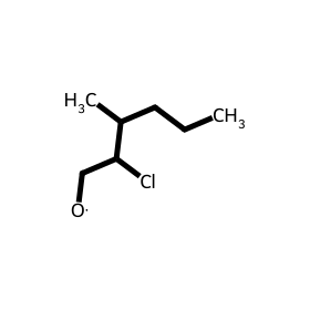 CCCC(C)C(Cl)C[O]